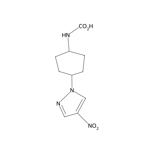 O=C(O)NC1CCC(n2cc([N+](=O)[O-])cn2)CC1